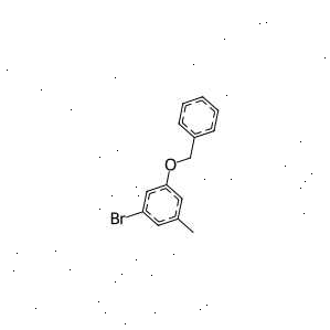 Cc1cc(Br)cc(OCc2ccccc2)c1